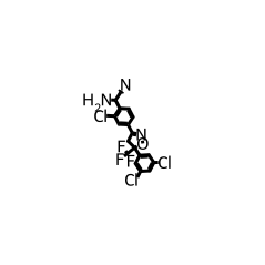 N#CC(N)c1ccc(C2=NOC(c3cc(Cl)cc(Cl)c3)(C(F)(F)F)C2)cc1Cl